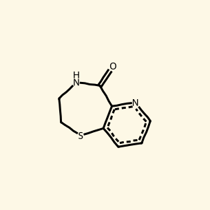 O=C1NCCSc2cccnc21